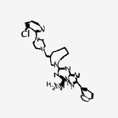 Nc1nc(N2CCCC(CN3CCN(c4ncccc4Cl)CC3)C2)nc2nc(-c3ccco3)nn12